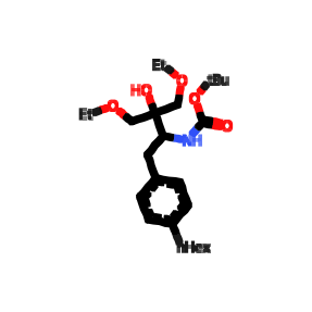 CCCCCCc1ccc(CC(NC(=O)OC(C)(C)C)C(O)(COCC)COCC)cc1